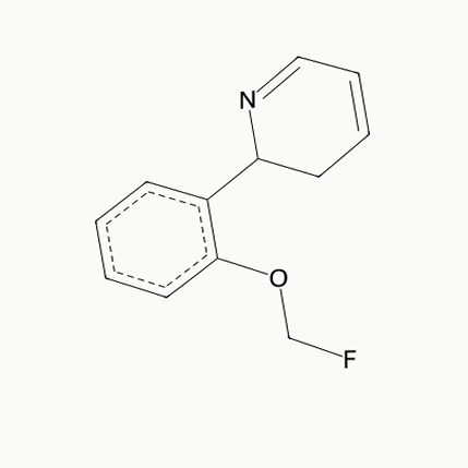 FCOc1ccccc1C1CC=CC=N1